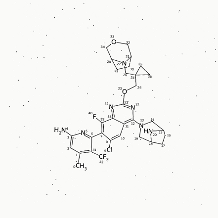 Cc1cc(N)nc(-c2c(Cl)cc3c(N4CC5CCC(C4)N5)nc(OCC4(CN5C6CCC5COC6)CC4)nc3c2F)c1C(F)(F)F